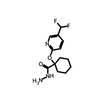 NNC(=O)C1(Oc2ccc(C(F)F)cn2)CCCCC1